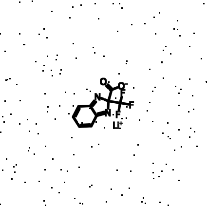 O=C([O-])C1(C(F)(F)F)N=c2ccccc2=N1.[Li+]